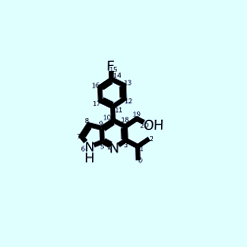 CC(C)c1nc2[nH]ccc2c(-c2ccc(F)cc2)c1CO